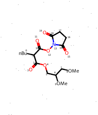 CCCCC(C(=O)OCC(COC)OC)C(=O)ON1C(=O)CCC1=O